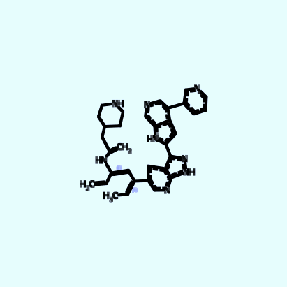 C=C/C(=C\C(=C/C)c1cnc2[nH]nc(-c3cc4c(-c5cccnc5)cncc4[nH]3)c2c1)NC(=C)CC1CCNCC1